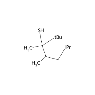 CC(C)CC(C)C(C)(S)C(C)(C)C